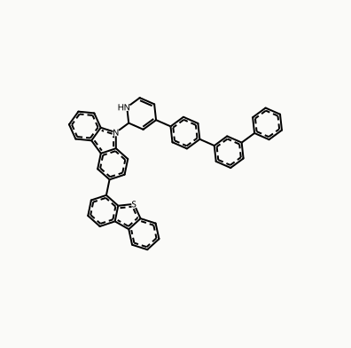 C1=CC(c2ccc(-c3cccc(-c4ccccc4)c3)cc2)=CC(n2c3ccccc3c3cc(-c4cccc5c4sc4ccccc45)ccc32)N1